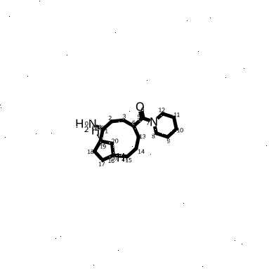 N[C@H]1CCC(C(=O)N2CCCCC2)CCC[C@H]2CC[C@@H]1C2